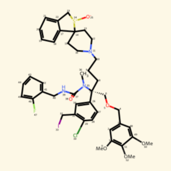 COc1cc(COC[C@](CCCN2CCC3(CC2)c2ccccc2C[S+]3[O-])(c2ccc(Cl)c(CI)c2)N(C)C(=O)NCc2ccccc2F)cc(OC)c1OC